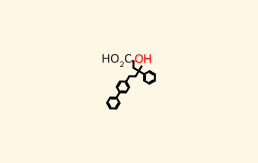 CC(CCc1ccc(-c2ccccc2)cc1)(CC(O)C(=O)O)c1ccccc1